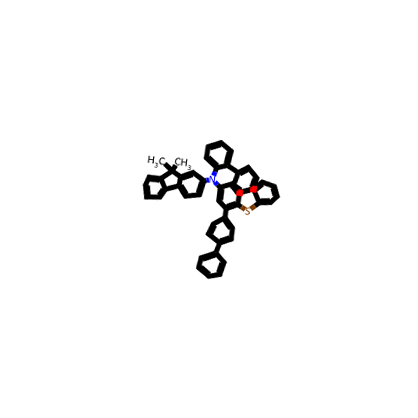 CC1(C)c2ccccc2-c2ccc(N(c3cc(-c4ccc(-c5ccccc5)cc4)c4sc5ccccc5c4c3)c3ccccc3-c3ccccc3)cc21